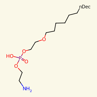 CCCCCCCCCCCCCCCCOCCOP(=O)(O)OCCN